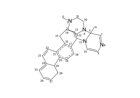 CN1CCN(C2(C)C=NC=CN2C2=CCCc3c2ccc2c3C=CC3=CC=CCC32)CC1